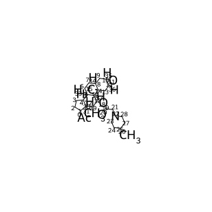 CC(=O)[C@H]1CC[C@H]2[C@@H]3CC[C@H]4C[C@@H]5O[C@@H]5C[C@]4(C)[C@H]3[C@@H](OC(=O)CN3CCC(C)CC3)C[C@]12C